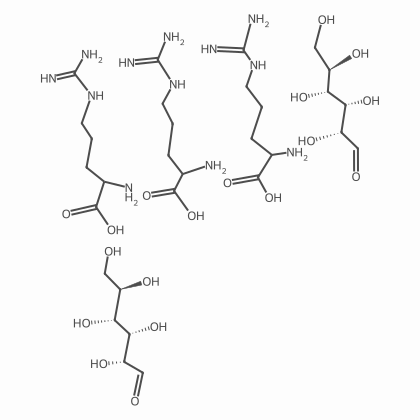 N=C(N)NCCCC(N)C(=O)O.N=C(N)NCCCC(N)C(=O)O.N=C(N)NCCCC(N)C(=O)O.O=C[C@H](O)[C@@H](O)[C@H](O)[C@H](O)CO.O=C[C@H](O)[C@@H](O)[C@H](O)[C@H](O)CO